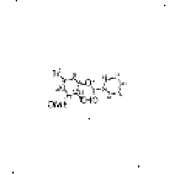 COc1nc(Br)cc(OCc2ccccc2)c1C=O